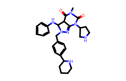 CN1C(=O)C2C(=NN(Cc3ccc(C4CCCCN4)cc3)C2Nc2ccccc2)N(C2CCNC2)C1=O